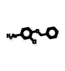 Clc1cc([AsH2])ccc1OCc1ccccc1